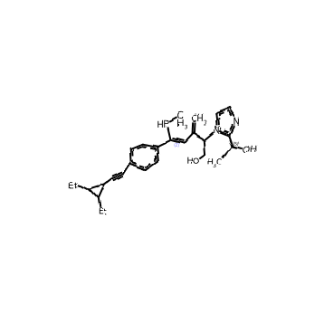 C=C(/C=C(\PC)c1ccc(C#CC2C(CC)C2CC)cc1)C(CO)n1ccnc1[C@H](C)O